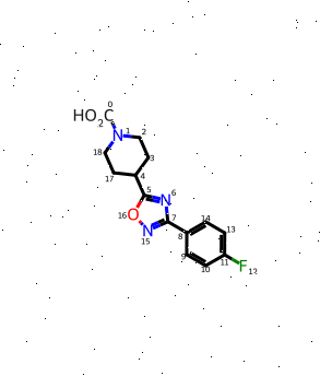 O=C(O)N1CCC(c2nc(-c3ccc(F)cc3)no2)CC1